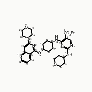 CCOC(=O)c1cnc(NC2CCOCC2)nc1N[C@H]1CC[C@@H](Oc2nc(N3CCOCC3)cc3ncccc23)CC1